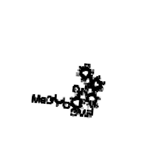 COCCCOc1cc(C(=O)N(C(C)C)[C@H]2CNCC[C@@H]2c2cccc(-c3ccccc3)c2)ccc1OC